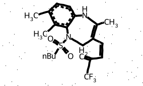 C=C(/C=C\C1=C(C)Nc2ccc(C)c(C)c2N(S(=O)(=O)CCCC)C1)C(F)(F)F